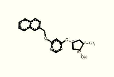 C[C@H]1C[C@@H](Oc2cc(OCc3ccc4ccccc4c3)ncn2)C[C@H]1O